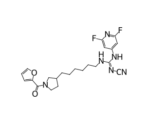 N#C/N=C(/NCCCCCCC1CCN(C(=O)c2ccco2)C1)Nc1cc(F)nc(F)c1